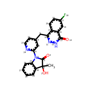 CC1(O)C(=O)N(c2cc(Cc3n[nH]c(=O)c4cc(F)ccc34)ccn2)c2ccccc21